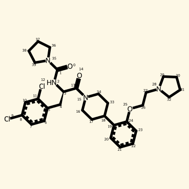 O=C(N[C@H](Cc1ccc(Cl)cc1Cl)C(=O)N1CCC(c2ccccc2OCCN2CCCC2)CC1)N1CCCC1